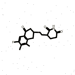 Cc1c(F)cc2c(c1C)CC(CCC1CCC(=O)NC1=O)CC2=O